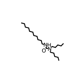 CCCCCCCCCCCNC(=O)N(CCCCC)CCCCC